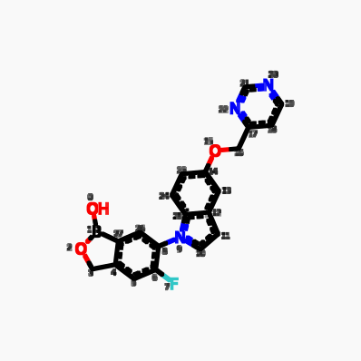 OB1OCc2cc(F)c(-n3ccc4cc(OCc5ccncn5)ccc43)cc21